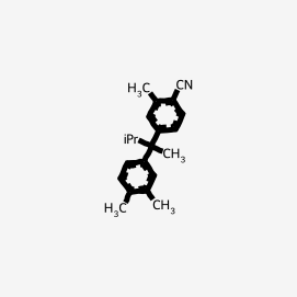 Cc1ccc(C(C)(c2ccc(C#N)c(C)c2)C(C)C)cc1C